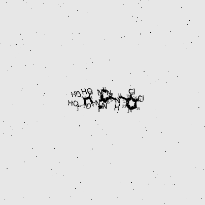 OC[C@H]1O[C@@H](n2cnc3c(NCc4cccc(Cl)c4Cl)ncnc32)[C@H](O)[C@@H]1O